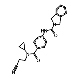 N#CCCN(C(=O)c1ccc(NC(=O)N2Cc3ccccc3C2)cc1)C1CC1